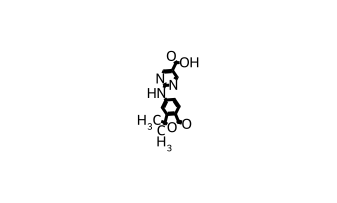 CC1(C)OC(=O)c2ccc(Nc3ncc(C(=O)O)cn3)cc21